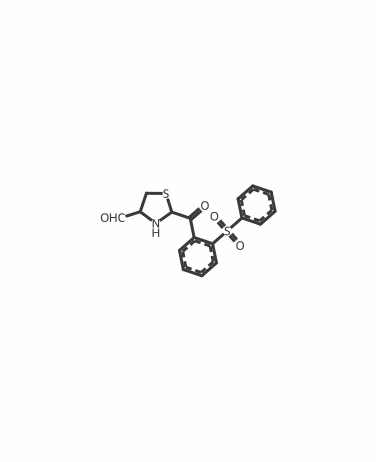 O=CC1CSC(C(=O)c2ccccc2S(=O)(=O)c2ccccc2)N1